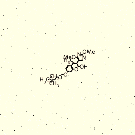 COc1ncc(C2=C(C)c3ccc(OCOCC[Si](C)(C)C)cc3OC2O)c(OC)n1